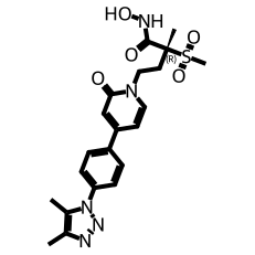 Cc1nnn(-c2ccc(-c3ccn(CC[C@](C)(C(=O)NO)S(C)(=O)=O)c(=O)c3)cc2)c1C